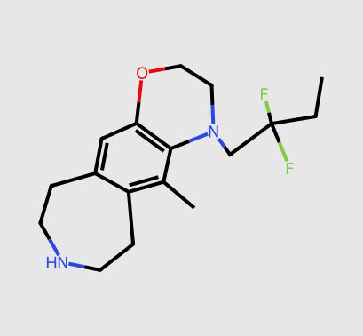 CCC(F)(F)CN1CCOc2cc3c(c(C)c21)CCNCC3